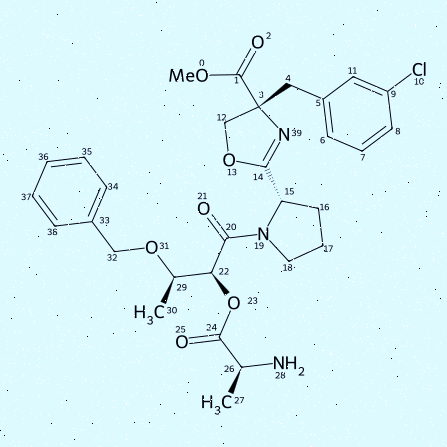 COC(=O)[C@@]1(Cc2cccc(Cl)c2)COC([C@@H]2CCCN2C(=O)[C@@H](OC(=O)[C@H](C)N)[C@@H](C)OCc2ccccc2)=N1